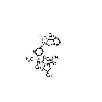 CN(C(=O)[C@@H]1C[C@@H](O)CN1S(C)(=O)=O)[C@@H](c1ccc(N[C@H]2Cc3ccccc3C2(C)C)cn1)C(F)(F)F